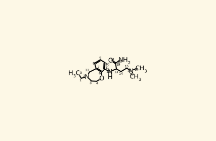 CCN1CCOc2c(cccc2NC(CCN(C)C)C(N)=O)C1